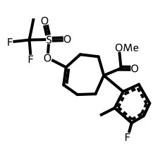 COC(=O)C1(c2cccc(F)c2C)CCC=C(OS(=O)(=O)C(C)(F)F)CC1